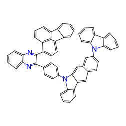 c1ccc2c(c1)-c1cccc3c(-c4nc5ccccc5nc4-c4ccc(-n5c6ccccc6c6cc7ccc(-n8c9ccccc9c9ccccc98)cc7cc65)cc4)ccc-2c13